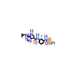 CCCS(=O)(=O)Nc1ccc(F)c(NC(=O)C2CNc3c(NC4CC4)ncnc32)c1F